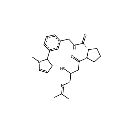 CC(C)=NOC(S)CC(=O)N1CCC[C@H]1C(=O)NCc1cccc(C2CC=CN2C)c1